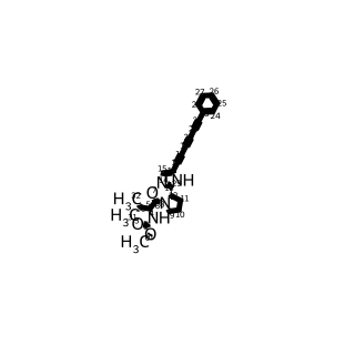 COC(=O)N[C@H](C(=O)N1CCC[C@H]1c1ncc(C#CC#CC#Cc2ccccc2)[nH]1)C(C)C